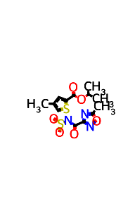 Cc1csc(C(=O)OC(C)C)c1.Cc1nc(C(=O)N=S(=O)=O)no1